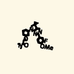 COc1ccc(-c2ncc3c(n2)N(c2cccc(OCC(=O)N(C)C)c2)CC32CC2)cc1F